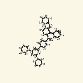 c1ccc(-c2nc(-c3ccccc3)nc(-c3ccc(-c4nc5ccncc5c5c4ccc4c6ccccc6oc45)cc3)n2)cc1